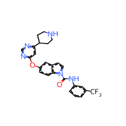 O=C(Nc1cccc(C(F)(F)F)c1)n1ccc2cc(Oc3cc(C4CCNCC4)ncn3)ccc21